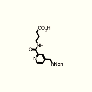 CCCCCCCCCCc1ccnc(C(=O)NCCCC(=O)O)c1